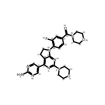 Nc1ncc(-c2nc(N3CCOCC3)nc3c2CCN3c2ccc(C(=O)N3CCOCC3)cc2F)cn1